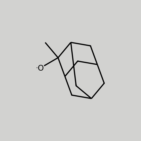 CC1([O])C2CC3CC(C2)CC1C3